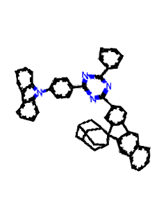 c1ccc(-c2nc(-c3ccc(-n4c5ccccc5c5ccccc54)cc3)nc(-c3ccc4c(c3)C3(c5cc6ccccc6cc5-4)C4CC5CC(C4)CC3C5)n2)cc1